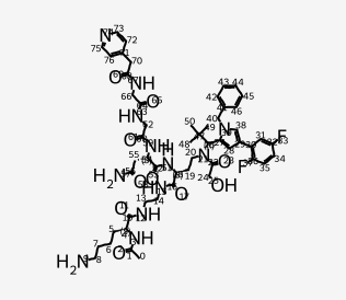 CC(=O)N[C@@H](CCCCN)C(=O)NCCNC(=O)[C@H](CCN(C(=O)CO)[C@@H](c1cc(-c2cc(F)ccc2F)cn1Cc1ccccc1)C(C)(C)C)NC(=O)[C@H](CC(N)=O)NC(=O)CNC(=O)CNC(=O)Cc1ccncc1